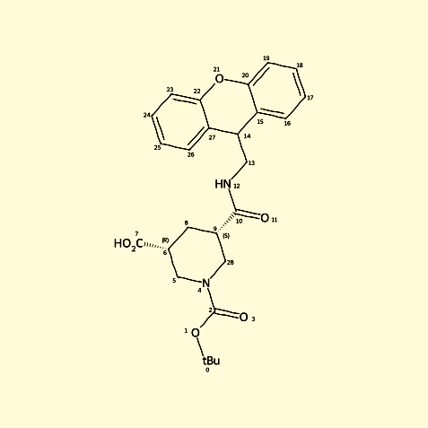 CC(C)(C)OC(=O)N1C[C@H](C(=O)O)C[C@H](C(=O)NCC2c3ccccc3Oc3ccccc32)C1